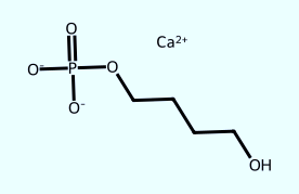 O=P([O-])([O-])OCCCCO.[Ca+2]